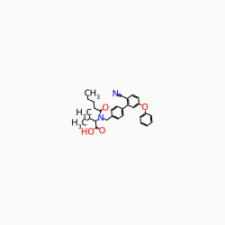 CCCCC(=O)N(Cc1ccc(-c2cc(Oc3ccccc3)ccc2C#N)cc1)C(C(=O)O)C(C)C